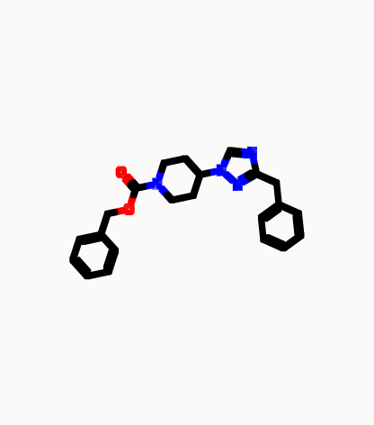 O=C(OCc1ccccc1)N1CCC(n2cnc(Cc3ccccc3)n2)CC1